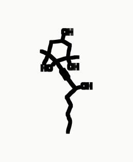 CCCCCC(O)C#CC1(O)C(C)(C)CC(O)CC1(C)O